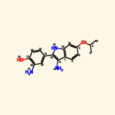 CC(C)Oc1ccc2c(N)c(-c3ccc(O)c(N)c3)[nH]c2c1